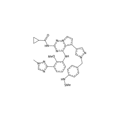 COc1c(Nc2nc(NC(=O)C3CC3)nn3ccc(-c4cnn(Cc5ccc(NSC)cc5)c4)c23)cccc1-c1ncn(C)n1